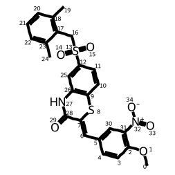 COc1ccc(C=C2Sc3ccc(S(=O)(=O)Cc4c(C)cccc4C)cc3NC2=O)cc1[N+](=O)[O-]